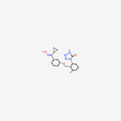 CON=C(c1cccc(OCc2c(C)cccc2-n2nnn(C)c2=O)c1)C1CC1